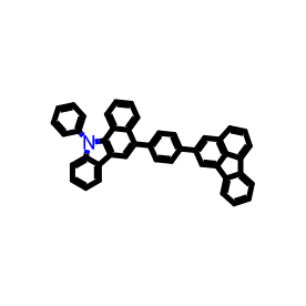 c1ccc(-n2c3ccccc3c3cc(-c4ccc(-c5cc6c7c(cccc7c5)-c5ccccc5-6)cc4)c4ccccc4c32)cc1